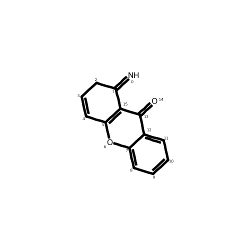 N=C1CC=Cc2oc3ccccc3c(=O)c21